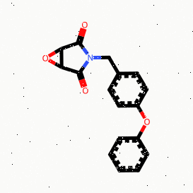 O=C1C2OC2C(=O)N1Cc1ccc(Oc2ccccc2)cc1